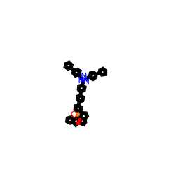 O=P(c1ccc(-c2ccc(-c3ccc(-c4nc(-c5ccc(-c6ccccc6)cc5)nc(-c5ccc(-c6ccccc6)cc5)n4)cc3)cc2)cc1)(c1cccc2ccccc12)c1cccc2ccccc12